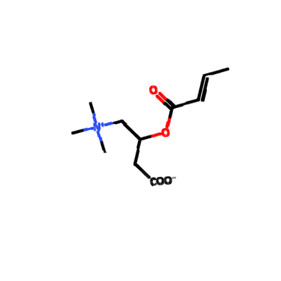 CC=CC(=O)OC(CC(=O)[O-])C[N+](C)(C)C